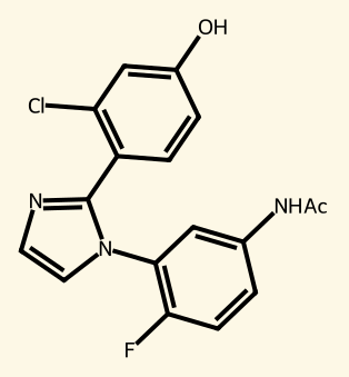 CC(=O)Nc1ccc(F)c(-n2ccnc2-c2ccc(O)cc2Cl)c1